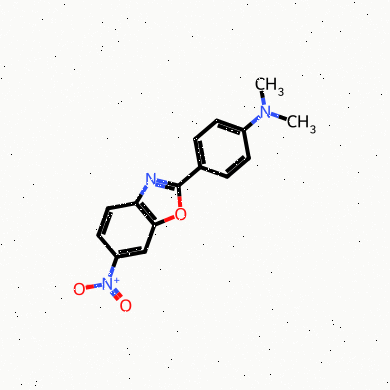 CN(C)c1ccc(-c2nc3ccc([N+](=O)[O-])cc3o2)cc1